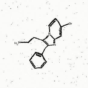 NCCc1c(-c2ccccc2)nc2cc(Br)ccn12